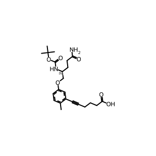 Cc1ccc(OC[C@H](CCC(N)=O)NC(=O)OC(C)(C)C)cc1C#CCCCC(=O)O